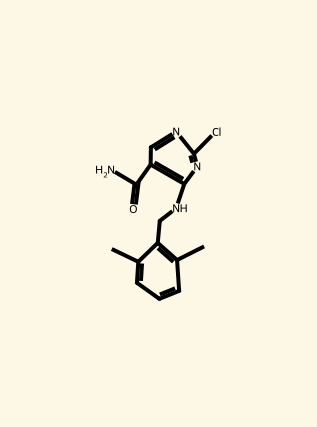 Cc1cccc(C)c1CNc1nc(Cl)ncc1C(N)=O